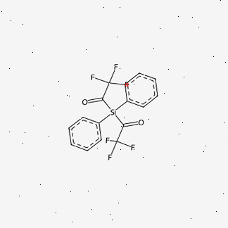 O=C(C(F)(F)F)[Si](C(=O)C(F)(F)F)(c1ccccc1)c1ccccc1